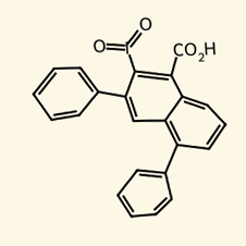 O=C(O)c1c(I(=O)=O)c(-c2ccccc2)cc2c(-c3ccccc3)cccc12